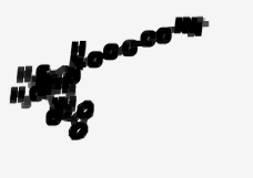 C[Si](C)(CCCNC(=O)OCC1c2ccccc2-c2ccccc21)O[Si](C)(C)CCCC(=O)NCCOCCOCCOCCOCCOCCN=[N+]=[N-]